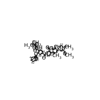 COC[C@H]1CN(c2cc(C)c3c4c(c(=O)oc3c2C)CN(C(=O)c2ccc(C(=O)NS(=O)(=O)N(C)C)c(OC3C5CC6CC(C5)CC3C6)c2)CC4)CCN1C